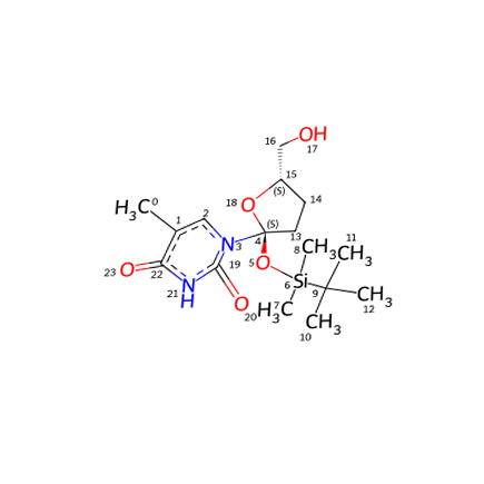 Cc1cn([C@@]2(O[Si](C)(C)C(C)(C)C)CC[C@@H](CO)O2)c(=O)[nH]c1=O